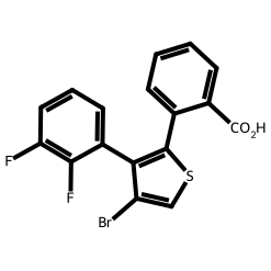 O=C(O)c1ccccc1-c1scc(Br)c1-c1cccc(F)c1F